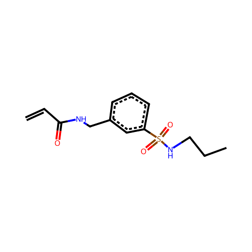 C=CC(=O)NCc1cccc(S(=O)(=O)NCCC)c1